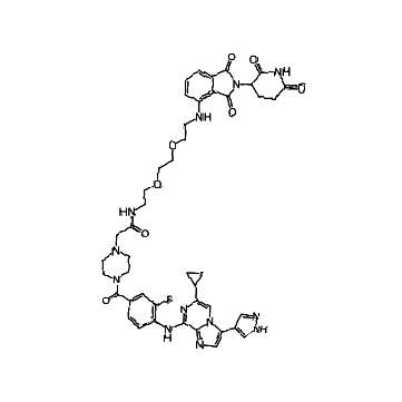 O=C(CN1CCN(C(=O)c2ccc(Nc3nc(C4CC4)cn4c(-c5cn[nH]c5)cnc34)c(F)c2)CC1)NCCOCCOCCNc1cccc2c1C(=O)N(C1CCC(=O)NC1=O)C2=O